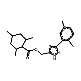 Cc1ccc(C)c(-c2n[nH]c(COC(=O)C3C(C)CC(C)CC3C)n2)c1